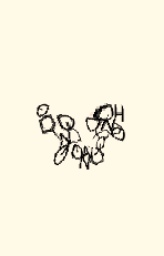 COc1ccc(CN2C(=O)CC[C@@H](Oc3nc4cccc(OC[C@@H]5OCCN(C(=O)O)[C@@H]5C(C)(C)C)c4n3C)C2=O)cc1